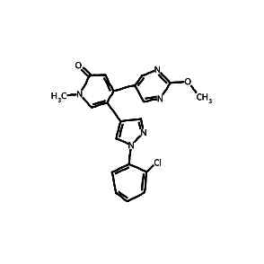 COc1ncc(-c2cc(=O)n(C)cc2-c2cnn(-c3ccccc3Cl)c2)cn1